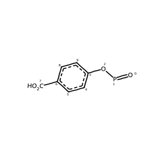 O=POc1ccc(C(=O)O)cc1